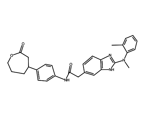 Cc1ccccc1N(C)c1nc2ccc(CC(=O)Nc3ccc(C4CCCOC(=O)C4)cc3)cc2[nH]1